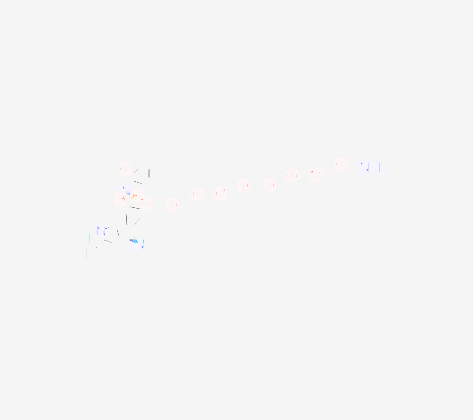 COc1ccccc1N(C)S(=O)(=O)c1cc(-c2cnc(C(F)(F)F)cc2C#N)c(Cl)cc1OCCOCCOCCOCCOCCOCCOCCOCCOCCN